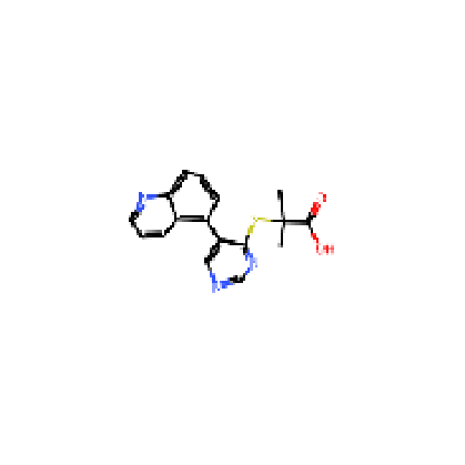 CC(C)(Sc1ncncc1-c1cccc2ncccc12)C(=O)O